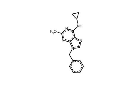 FC(F)(F)c1nc(NC2CC2)c2ncn(Cc3ccccc3)c2n1